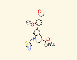 C1CCOC1.CCOc1ccccc1-c1ccc2c(c1)C=C(C(=O)OC)CCN2CC1=CN(C)CS1